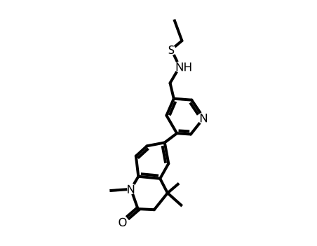 CCSNCc1cncc(-c2ccc3c(c2)C(C)(C)CC(=O)N3C)c1